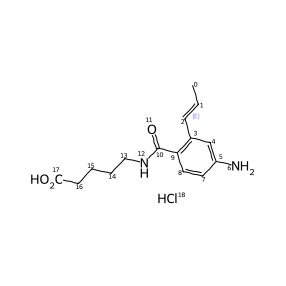 C/C=C/c1cc(N)ccc1C(=O)NCCCCC(=O)O.Cl